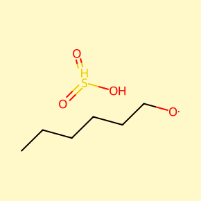 CCCCCC[O].O=[SH](=O)O